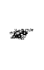 COc1cccc(C2SCC(=O)[N@@+](CC(C)(C)C)([C@@]3(C(=O)O)CCNC[C@@H]3C(C)=O)c3ccc(Cl)cc32)c1OC